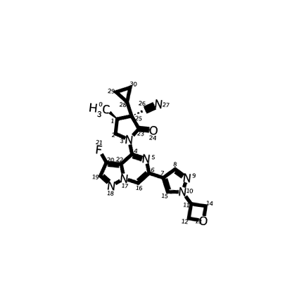 C[C@@H]1CN(c2nc(-c3cnn(C4COC4)c3)cn3ncc(F)c23)C(=O)[C@]1(C#N)C1CC1